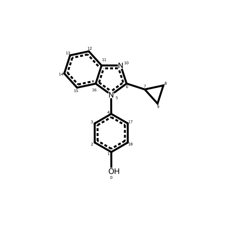 Oc1ccc(-n2c(C3CC3)nc3ccccc32)cc1